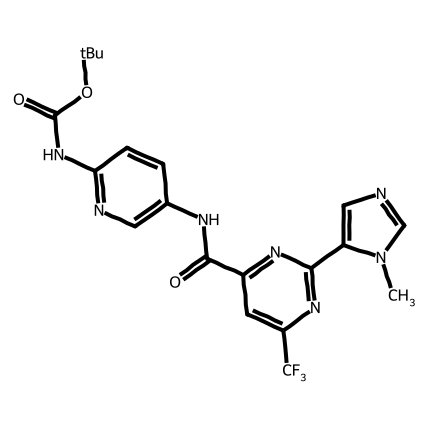 Cn1cncc1-c1nc(C(=O)Nc2ccc(NC(=O)OC(C)(C)C)nc2)cc(C(F)(F)F)n1